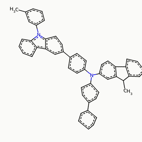 Cc1cccc(-n2c3ccccc3c3cc(-c4ccc(N(c5ccc(-c6ccccc6)cc5)c5ccc6c(c5)C(C)c5ccccc5-6)cc4)ccc32)c1